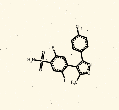 NS(=O)(=O)c1cc(F)c(-c2c(-c3ccc(C(F)(F)F)cc3)noc2C(F)(F)F)cc1F